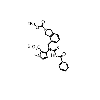 CCOC(=O)c1[nH]ccc1N(Cc1cccc2c1CN(C(=O)OC(C)(C)C)C2)C(=S)NC(=O)c1ccccc1